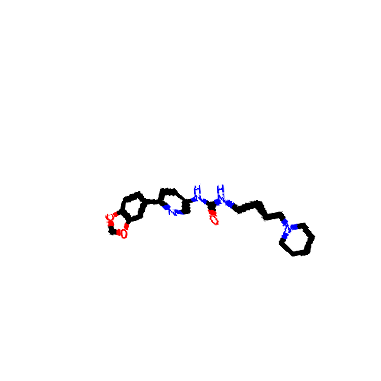 O=C(NCCCCN1CCCCC1)Nc1ccc(-c2ccc3c(c2)OCO3)nc1